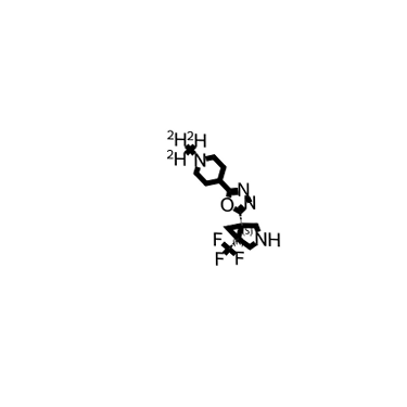 [2H]C([2H])([2H])N1CCC(c2nnc([C@]34CNC[C@@]3(C(F)(F)F)C4)o2)CC1